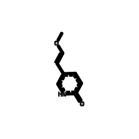 COC=Cc1ccc(=O)[nH]c1